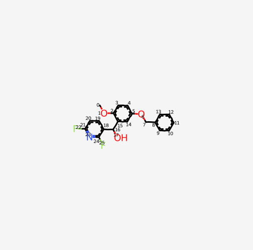 COc1ccc(OCc2ccccc2)cc1C(O)c1ccc(F)nc1F